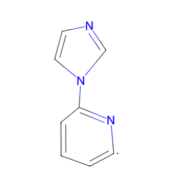 [c]1cccc(-n2ccnc2)n1